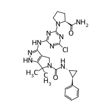 CC1(C)c2[nH]nc(Nc3nc(Cl)nc(N4CCC[C@H]4C(N)=O)n3)c2CN1C(=O)N[C@@H]1C[C@H]1c1ccccc1